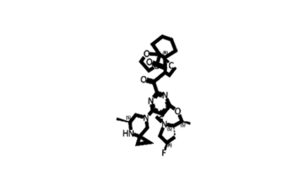 C[C@H](Oc1nc(C(=O)C2CCC[C@@]3(CCCCC34OCCO4)C2=O)nc(N2C[C@H](C)NC3(CC3)C2)c1F)[C@@H]1C[C@@H](F)CN1C